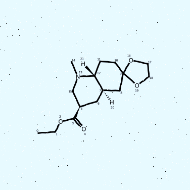 CCOC(=O)[C@@H]1C[C@@H]2CC3(CC[C@H]2N(C)C1)OCCO3